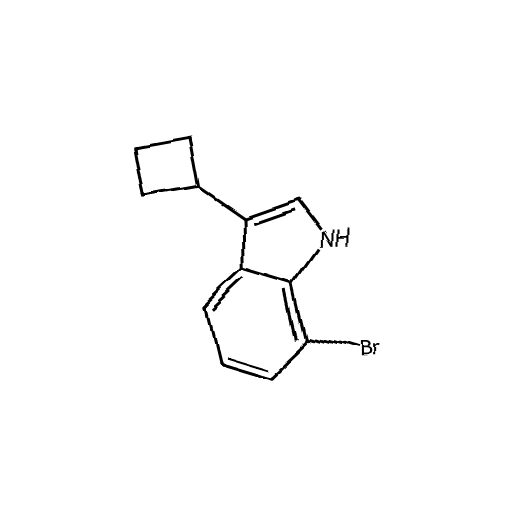 Brc1cccc2c(C3CCC3)c[nH]c12